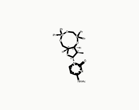 CC(=O)Nc1ccn([C@@H]2S[C@@H]3CO[Si](C(C)C)(C(C)C)OC[Si](C(C)C)(C(C)C)O[C@H]3[C@H]2C)c(=O)n1